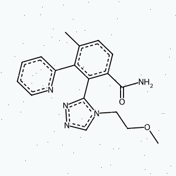 COCCn1cnnc1-c1c(C(N)=O)ccc(C)c1-c1ccccn1